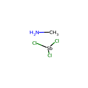 CN.[Cl][Sb]([Cl])[Cl]